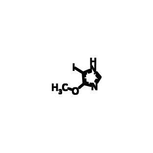 COc1nc[nH]c1I